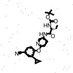 CC[C@@H](NC(=O)OC(C)(C)C)C(=O)Nc1ccc(Oc2ccc(C#N)cc2C2CC2)nc1